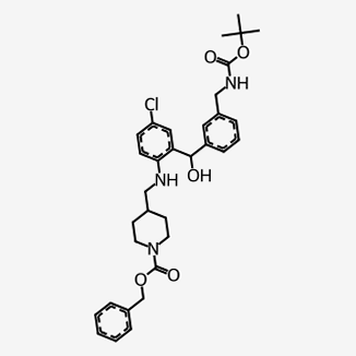 CC(C)(C)OC(=O)NCc1cccc(C(O)c2cc(Cl)ccc2NCC2CCN(C(=O)OCc3ccccc3)CC2)c1